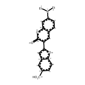 CCN(CC)c1ccc2cc(-c3cc4cc(C(=O)O)ccc4o3)c(=O)oc2c1